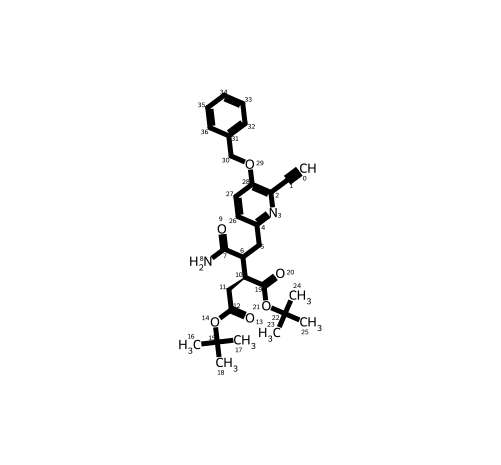 C#Cc1nc(CC(C(N)=O)[C@H](CC(=O)OC(C)(C)C)C(=O)OC(C)(C)C)ccc1OCc1ccccc1